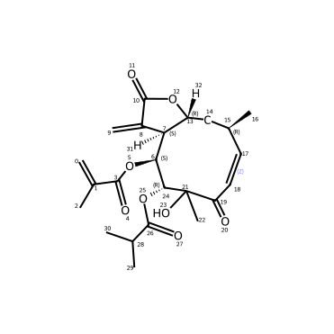 C=C(C)C(=O)O[C@H]1[C@H]2C(=C)C(=O)O[C@@H]2C[C@@H](C)/C=C\C(=O)C(C)(O)[C@@H]1OC(=O)C(C)C